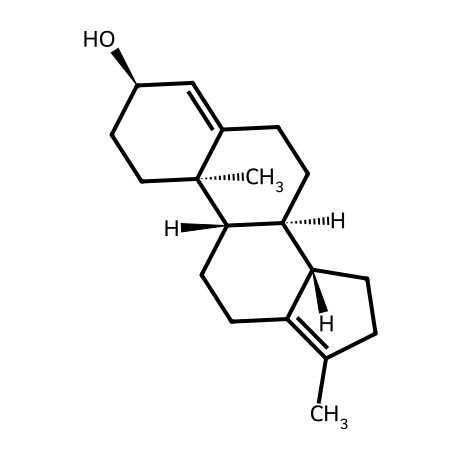 CC1=C2CC[C@H]3[C@@H](CCC4=C[C@H](O)CC[C@@]43C)[C@@H]2CC1